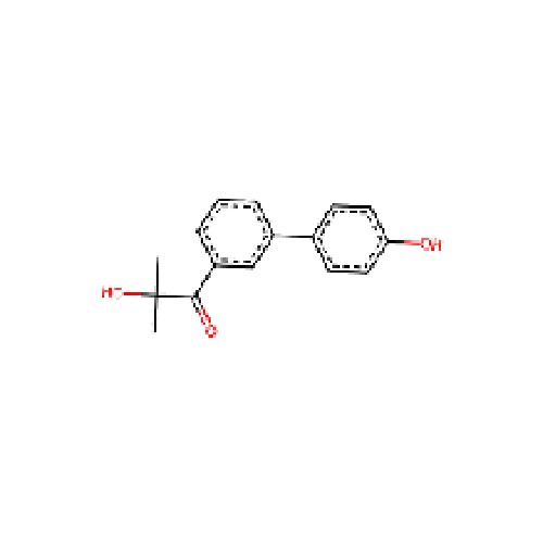 CC(C)(O)C(=O)c1cccc(-c2ccc(O)cc2)c1